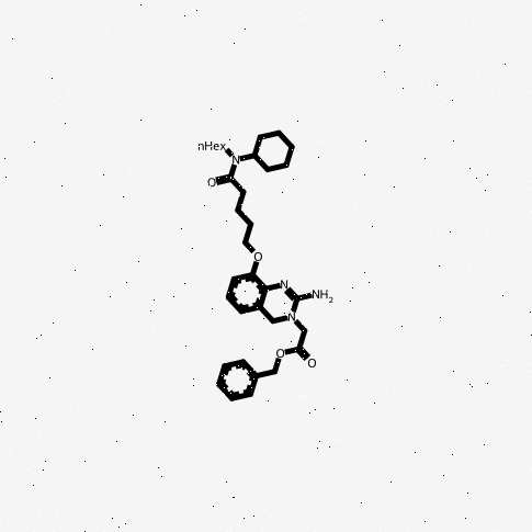 CCCCCCN(C(=O)CCCCOc1cccc2c1N=C(N)N(CC(=O)OCc1ccccc1)C2)C1CCCCC1